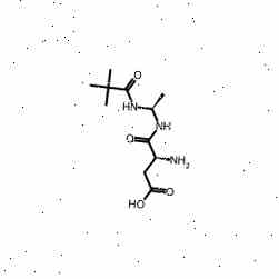 C[C@@H](NC(=O)[C@@H](N)CC(=O)O)NC(=O)C(C)(C)C